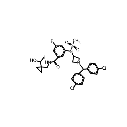 CS(=O)(=O)N(c1cc(F)cc(C(=O)NCC2(C(O)I)CC2)c1)C1CN(C(c2ccc(Cl)cc2)c2ccc(Cl)cc2)C1